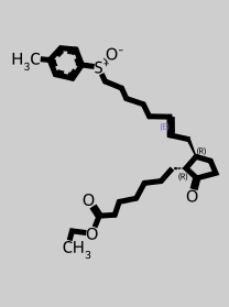 CCOC(=O)CCCCCC[C@H]1C(=O)CC[C@@H]1C/C=C/CCCCC[S+]([O-])c1ccc(C)cc1